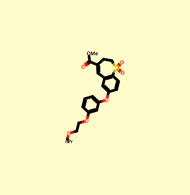 CCCOCCOc1cccc(Oc2ccc3c(c2)C=C(C(=O)OC)CCS3(=O)=O)c1